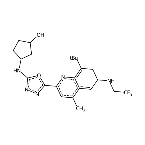 Cc1cc(-c2nnc(NC3CCC(O)C3)o2)nc2c1=CC(NCC(F)(F)F)CC=2C(C)(C)C